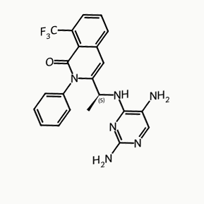 C[C@H](Nc1nc(N)ncc1N)c1cc2cccc(C(F)(F)F)c2c(=O)n1-c1ccccc1